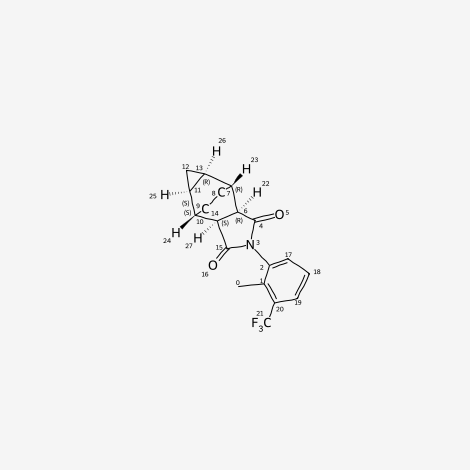 Cc1c(N2C(=O)[C@@H]3[C@@H]4CC[C@@H]([C@H]5C[C@H]54)[C@@H]3C2=O)cccc1C(F)(F)F